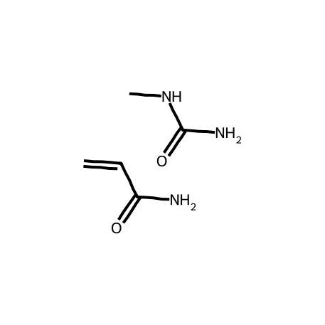 C=CC(N)=O.CNC(N)=O